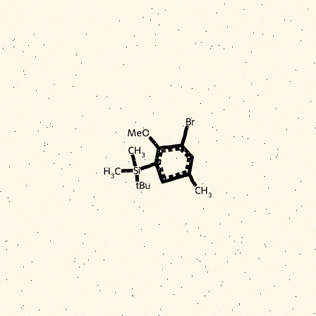 COc1c(Br)cc(C)cc1[Si](C)(C)C(C)(C)C